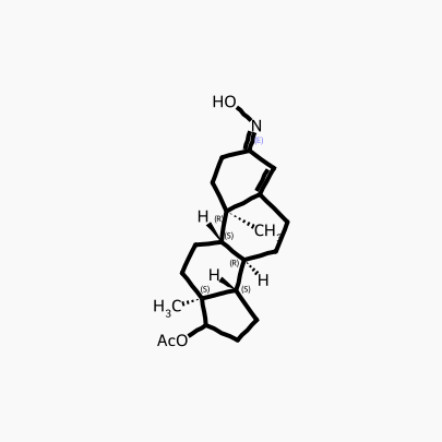 CC(=O)OC1CC[C@H]2[C@@H]3CCC4=C/C(=N/O)CC[C@]4(C)[C@H]3CC[C@]12C